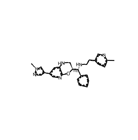 Cc1ccc(CCN[C@H](c2ccccc2)[C@@H]2CNc3cc(-c4cnn(C)c4)cnc3O2)cn1